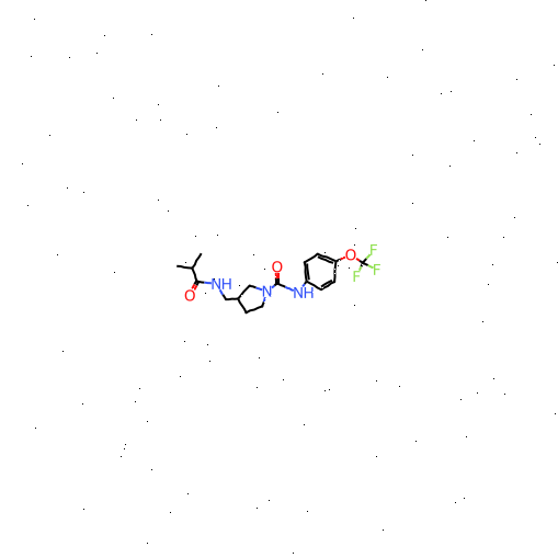 CC(C)C(=O)NCC1CCN(C(=O)Nc2ccc(OC(F)(F)F)cc2)C1